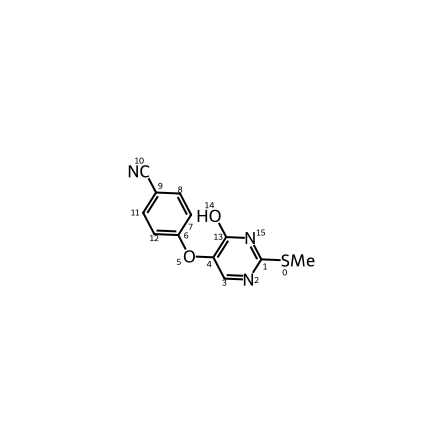 CSc1ncc(Oc2ccc(C#N)cc2)c(O)n1